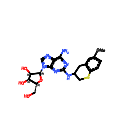 COc1ccc2c(c1)CC(Nc1nc(N)c3ncn([C@@H]4O[C@H](CO)[C@@H](O)[C@H]4O)c3n1)CS2